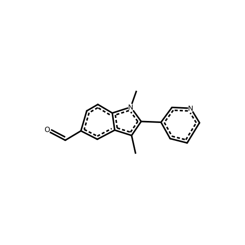 Cc1c(-c2cccnc2)n(C)c2ccc(C=O)cc12